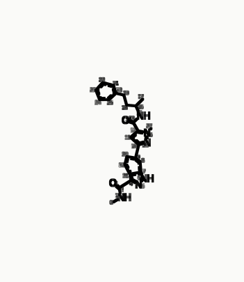 CNC(=O)c1n[nH]c2cc(-c3cc(C(=O)NC(C)CCc4ccccc4)n(C)n3)ccc12